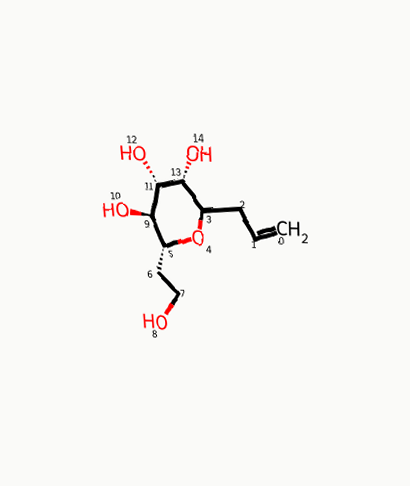 C=CCC1O[C@H](CCO)[C@@H](O)[C@H](O)[C@@H]1O